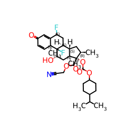 CC(C)C1CCC(OC(=O)O[C@@]2(C(=O)OCC#N)[C@H](C)C[C@H]3[C@@H]4C[C@H](F)C5=CC(=O)C=C[C@]5(C)C4(F)[C@@H](O)C[C@@]32C)CC1